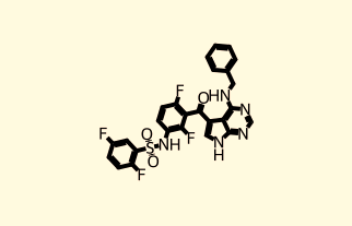 O=C(c1c(F)ccc(NS(=O)(=O)c2cc(F)ccc2F)c1F)c1c[nH]c2ncnc(NCc3ccccc3)c12